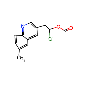 Cc1ccc2ncc(CC(Cl)OC=O)cc2c1